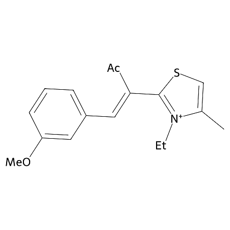 CC[n+]1c(C)csc1C(=Cc1cccc(OC)c1)C(C)=O